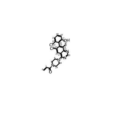 C=CC(=O)N1CCN(c2ncnc3c(F)c(-c4c(O)cccc4Cl)c(Cl)cc23)CC1